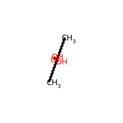 CCCCCCCCCCCCCCC(O)C(CCCCCCCCCCCCCC)C(=O)O